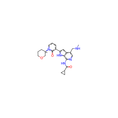 CNCc1cnc(NC(=O)C2CC2)c2[nH]c(-c3cccn([C@@H]4CCCOC4)c3=O)cc12